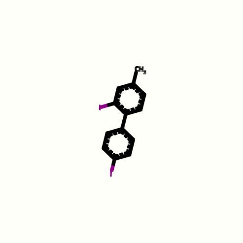 Cc1ccc(-c2ccc(I)cc2)c(I)c1